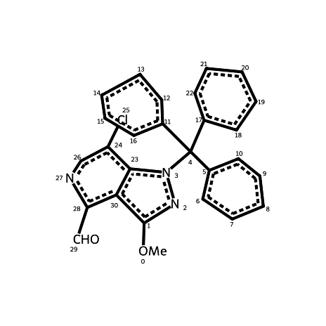 COc1nn(C(c2ccccc2)(c2ccccc2)c2ccccc2)c2c(Cl)cnc(C=O)c12